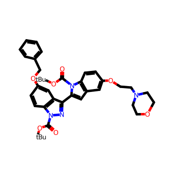 CC(C)(C)OC(=O)n1nc(-c2cc3cc(OCCN4CCOCC4)ccc3n2C(=O)OC(C)(C)C)c2cc(OCc3ccccc3)ccc21